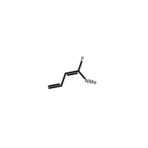 C=C/C=C(/F)NC